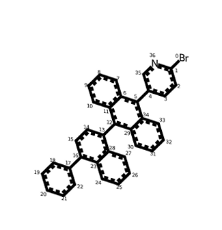 Brc1ccc(-c2c3ccccc3c(-c3ccc(-c4ccccc4)c4ccccc34)c3ccccc23)cn1